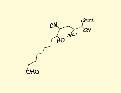 CCCCCC(O)C(CC(N=O)C(O)CCCCCCCC=O)N=O